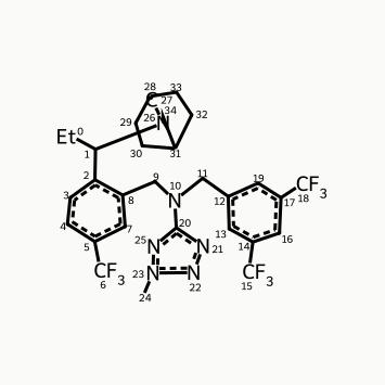 CCC(c1ccc(C(F)(F)F)cc1CN(Cc1cc(C(F)(F)F)cc(C(F)(F)F)c1)c1nnn(C)n1)N1CC2CCC(CC2)C1